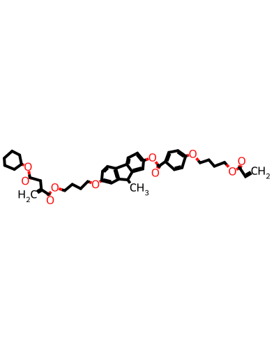 C=CC(=O)OCCCCOc1ccc(C(=O)Oc2ccc3c(c2)C(C)c2cc(OCCCCOC(=O)C(=C)CC(=O)OC4CCCCC4)ccc2-3)cc1